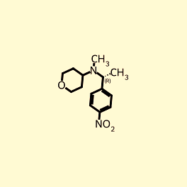 C[C@H](c1ccc([N+](=O)[O-])cc1)N(C)C1CCOCC1